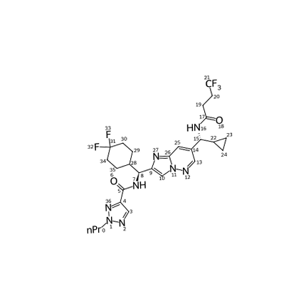 CCCn1ncc(C(=O)N[C@H](c2cn3ncc([C@H](NC(=O)CCC(F)(F)F)C4CC4)cc3n2)C2CCC(F)(F)CC2)n1